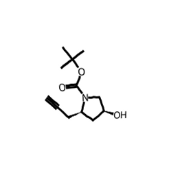 C#CC[C@@H]1C[C@H](O)CN1C(=O)OC(C)(C)C